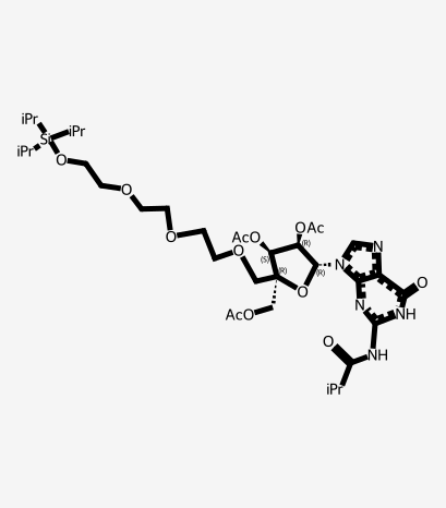 CC(=O)OC[C@@]1(COCCOCCOCCO[Si](C(C)C)(C(C)C)C(C)C)O[C@@H](n2cnc3c(=O)[nH]c(NC(=O)C(C)C)nc32)[C@H](OC(C)=O)[C@@H]1OC(C)=O